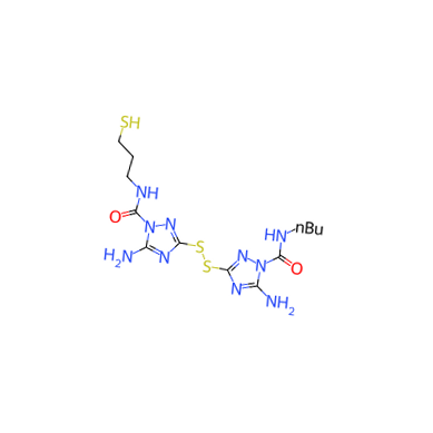 CCCCNC(=O)n1nc(SSc2nc(N)n(C(=O)NCCCS)n2)nc1N